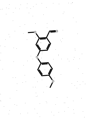 COc1ccc(Oc2ccc(C=O)c(OC)c2)cc1